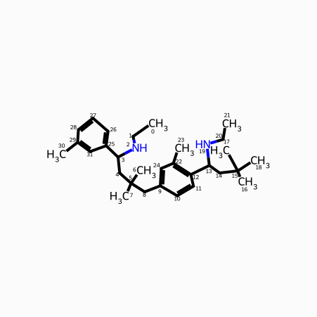 CCNC(CC(C)(C)Cc1ccc(C(CC(C)(C)C)NCC)c(C)c1)c1cccc(C)c1